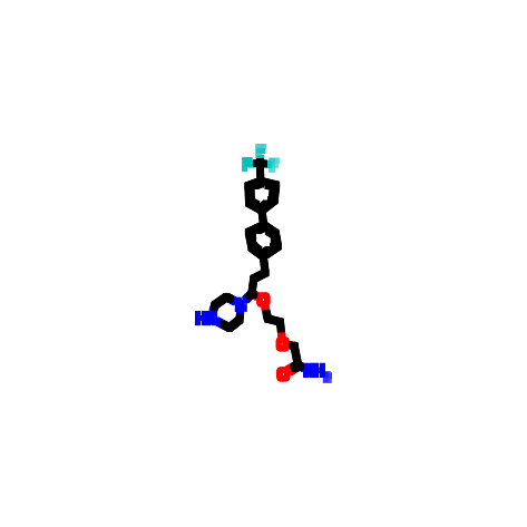 NC(=O)COCCOC(CCc1ccc(-c2ccc(C(F)(F)F)cc2)cc1)N1CCNCC1